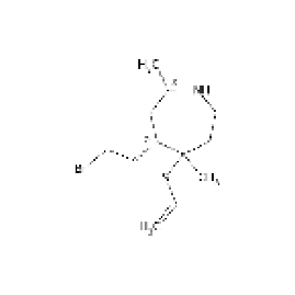 C=CSC1(C)CCN[C@@H](C)C[C@H]1CCBr